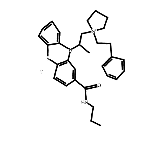 CCCNC(=O)c1ccc2c(c1)N(C(C)C[N+]1(CCc3ccccc3)CCCC1)c1ccccc1S2.[I-]